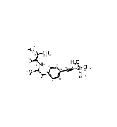 CC(Cc1ccc(C#C[Si](C)(C)C)cc1)NC(=O)N(C)C